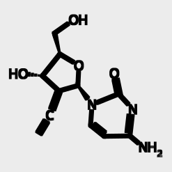 C=C=C1[C@H](n2ccc(N)nc2=O)O[C@H](CO)[C@H]1O